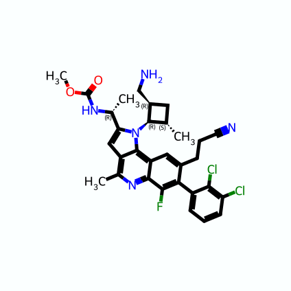 COC(=O)N[C@H](C)c1cc2c(C)nc3c(F)c(-c4cccc(Cl)c4Cl)c(CCC#N)cc3c2n1[C@H]1[C@@H](CN)C[C@@H]1C